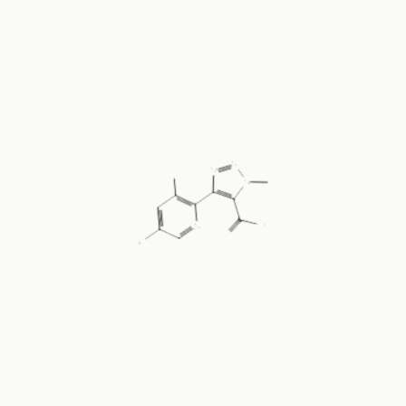 Cn1nnc(-c2ncc(Br)cc2F)c1C(=O)O